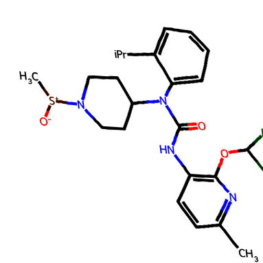 Cc1ccc(NC(=O)N(c2ccccc2C(C)C)C2CCN([S+](C)[O-])CC2)c(OC(F)F)n1